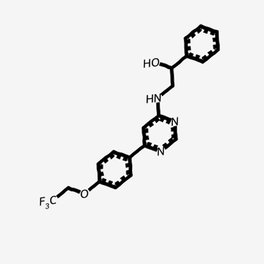 OC(CNc1cc(-c2ccc(OCC(F)(F)F)cc2)ncn1)c1ccccc1